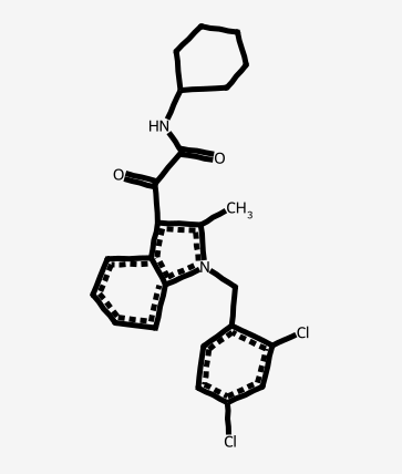 Cc1c(C(=O)C(=O)NC2CCCCC2)c2ccccc2n1Cc1ccc(Cl)cc1Cl